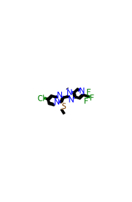 CCSc1c(-c2nc3cc(C(F)(F)F)ncc3n2C)nc2cc(Cl)ccn12